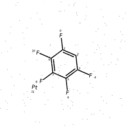 Fc1[c]c(F)c(F)c(F)c1F.[Pt]